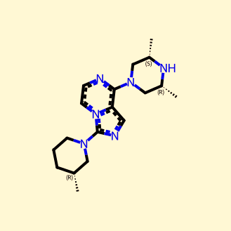 C[C@@H]1CCCN(c2ncc3c(N4C[C@@H](C)N[C@@H](C)C4)nccn23)C1